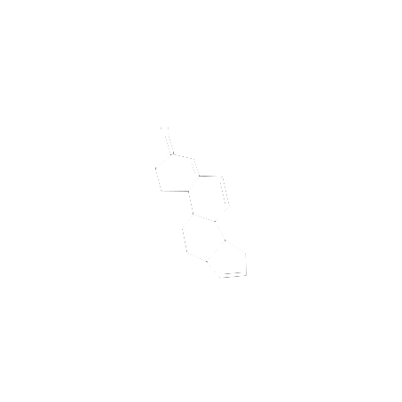 O=C1C=C2C=CC3C4CC=CC4CCC3C2CC1